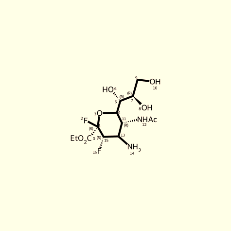 CCOC(=O)[C@]1(F)OC([C@H](O)[C@H](O)CO)[C@H](NC(C)=O)C(N)[C@@H]1F